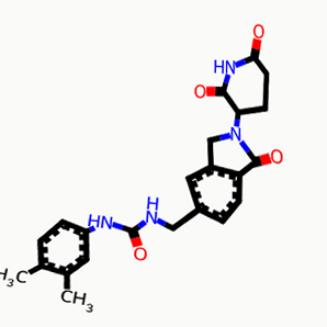 Cc1ccc(NC(=O)NCc2ccc3c(c2)CN(C2CCC(=O)NC2=O)C3=O)cc1C